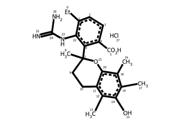 CCc1ccc(C(=O)O)c(C2(C)CCc3c(C)c(O)c(C)c(C)c3O2)c1NC(=N)N.Cl